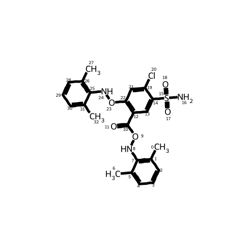 Cc1cccc(C)c1NOC(=O)c1cc(S(N)(=O)=O)c(Cl)cc1ONc1c(C)cccc1C